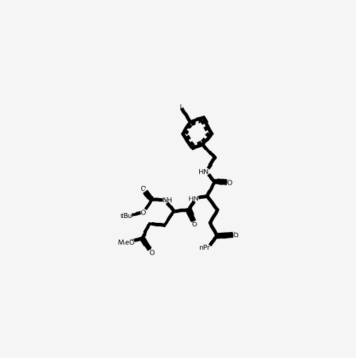 CCCC(=O)CCC(NC(=O)C(CCC(=O)OC)NC(=O)OC(C)(C)C)C(=O)NCc1ccc(I)cc1